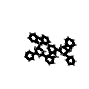 c1ccc(-c2nc(-c3cccc4sc5c(-c6nc(-c7ccccc7)c7oc8ccccc8c7n6)cccc5c34)nc(-n3c4ccccc4c4ccccc43)n2)cc1